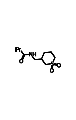 CC(C)C(=O)NCC1CCCS(=O)(=O)C1